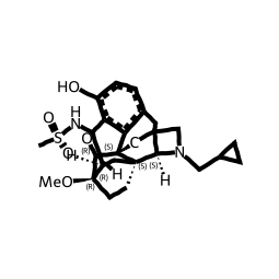 CO[C@]12CC[C@@]3(C[C@@H]1CNS(C)(=O)=O)[C@@H]1N(CC4CC4)CC14Cc1ccc(O)c5c1[C@@]3(C4)[C@H]2O5